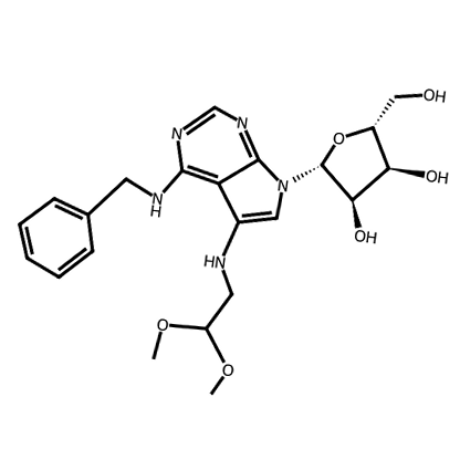 COC(CNc1cn([C@@H]2O[C@H](CO)[C@@H](O)[C@H]2O)c2ncnc(NCc3ccccc3)c12)OC